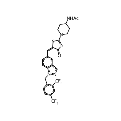 CC(=O)NC1CCN(C2=NC(=O)C(=Cc3ccc4c(cnn4Cc4ccc(C(F)(F)F)cc4C(F)(F)F)c3)S2)CC1